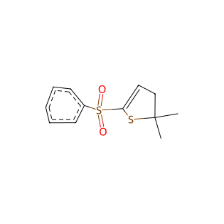 CC1(C)CC=C(S(=O)(=O)c2ccccc2)S1